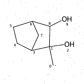 [CH2]C1(O)C2CCC(C2)C1O